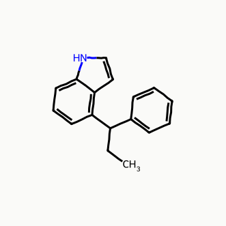 CCC(c1ccccc1)c1cccc2[nH]ccc12